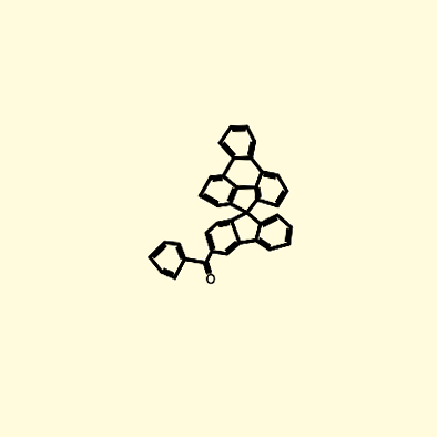 O=C(c1ccccc1)c1ccc2c(c1)-c1ccccc1C21c2cccc3c4ccccc4c4cccc1c4c23